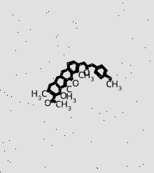 CCc1ccc(CC(=O)Cc2ccc3c(c2C)C(=O)C2=C(C)C4C(=O)C(C(C)=O)=C(C)CC4CC2C3)cc1